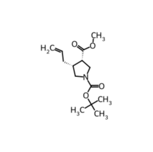 C=CC[C@H]1CN(C(=O)OC(C)(C)C)C[C@H]1C(=O)OC